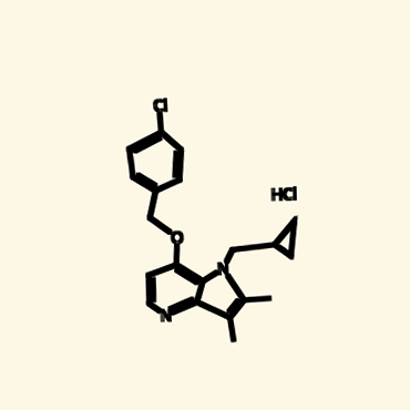 Cc1c(C)n(CC2CC2)c2c(OCc3ccc(Cl)cc3)ccnc12.Cl